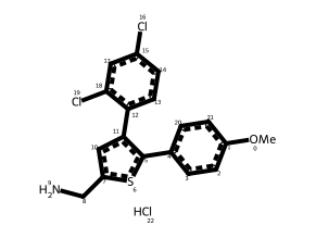 COc1ccc(-c2sc(CN)cc2-c2ccc(Cl)cc2Cl)cc1.Cl